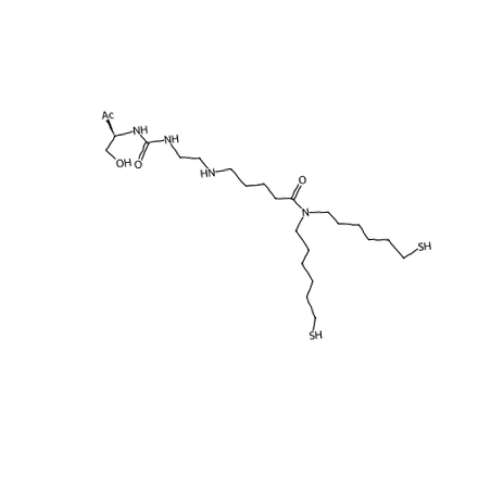 CC(=O)[C@H](CO)NC(=O)NCCNCCCCC(=O)N(CCCCCCS)CCCCCCS